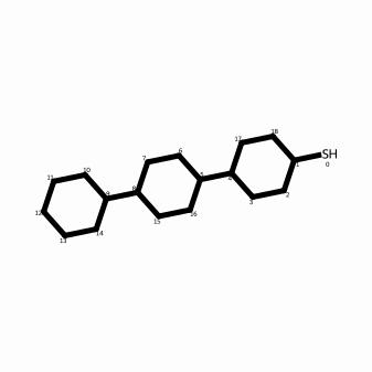 SC1CCC(C2CCC(C3CCCCC3)CC2)CC1